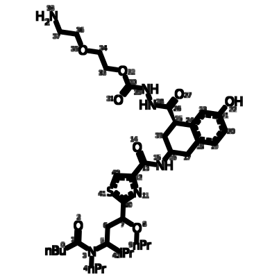 CCCCC(=O)N(CCC)C(CC(OCCC)c1nc(C(=O)NC2Cc3ccc(O)cc3[C@H](C(=O)NNC(=O)OCCOCCN)C2)cs1)C(C)C